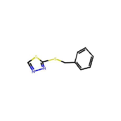 c1ccc(CSc2nncs2)cc1